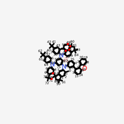 Cc1cc2c(cc1N1c3cc(-c4cccc5oc6ccccc6c45)ccc3B3c4cc5c(cc4N(c4ccc(C(C)(C)C)cc4-c4ccccc4)c4cc(N(c6ccc(C(C)(C)C)cc6)c6ccc(C(C)(C)C)cc6)cc1c43)C(C)(C)CC5(C)C)C(C)(C)CC2(C)C